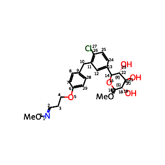 CON=CCCOc1ccc(Cc2cc(C3O[C@H](OC)[C@@H](O)[C@H](O)[C@H]3O)ccc2Cl)cc1